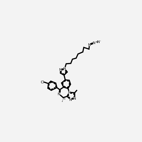 Cc1nnc2n1-c1ccc(-c3cnn(CCCCCCCCN=[N+]=[N-])c3)cc1C(c1ccc(Cl)cc1)=N[C@H]2C